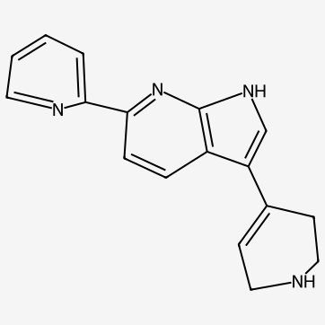 C1=C(c2c[nH]c3nc(-c4ccccn4)ccc23)CCNC1